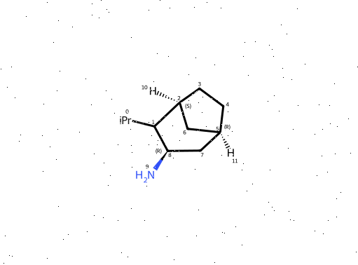 CC(C)C1[C@H]2CC[C@H](C2)C[C@H]1N